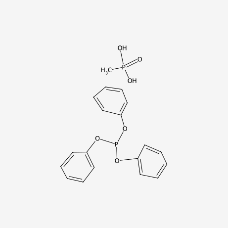 CP(=O)(O)O.c1ccc(OP(Oc2ccccc2)Oc2ccccc2)cc1